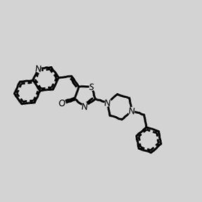 O=C1N=C(N2CCN(Cc3ccccc3)CC2)SC1=Cc1cnc2ccccc2c1